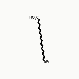 CCCC=CC=CCC=CCC=CCC=CCCCC(=O)O